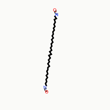 O=C=NCCCCCCCCCCCCCCCCCCCCCCCCCCCCCCCCCCCCN=C=O